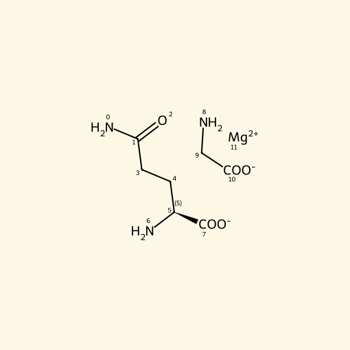 NC(=O)CC[C@H](N)C(=O)[O-].NCC(=O)[O-].[Mg+2]